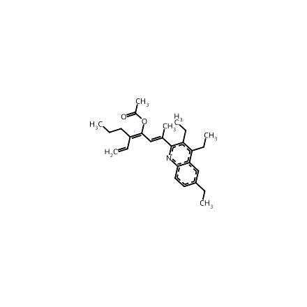 C=C/C(CCC)=C(\C=C(/C)c1nc2ccc(CC)cc2c(CC)c1CC)OC(C)=O